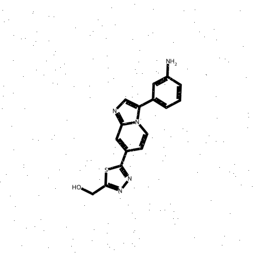 Nc1cccc(-c2cnc3cc(-c4nnc(CO)s4)ccn23)c1